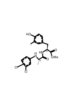 COC(=O)[C@H](Cc1ccc(O)c(I)c1)NC(=O)[C@H](C)Nc1ccc(Cl)c(Cl)c1